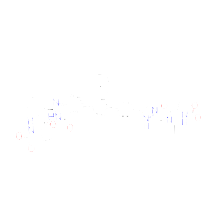 COC(=O)N[C@H](C(=O)C1CCCC[C@H]1c1nc2ccc(-c3ccc(-c4ccc(-c5cnc(C6CCCCN6C(=O)[C@@H](NC(=O)OC)C(C)C)[nH]5)cc4)c4c3CC3(CCCC3)C4)cc2c(=O)[nH]1)C(C)C